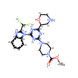 CC(C)(C)OC(=O)N1CCN(c2nc(C3CNCCO3)nc(-n3c(C(F)F)nc4ccccc43)n2)CC1